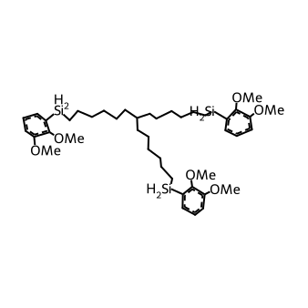 COc1cccc([SiH2]CCCCCCC(CCCCCC[SiH2]c2cccc(OC)c2OC)CCCCCC[SiH2]c2cccc(OC)c2OC)c1OC